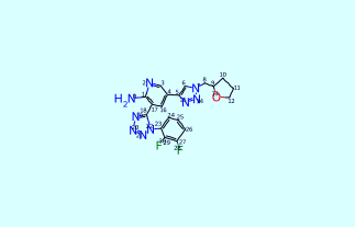 Nc1ncc(-c2cn(CC3CCCO3)nn2)cc1-c1nnnn1-c1cccc(F)c1F